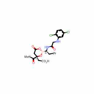 CNC(=O)[C@]1(CC(=O)O)CC(=O)OB([C@H](CC(C)C)NC(=O)CNc2cc(Cl)ccc2Cl)O1